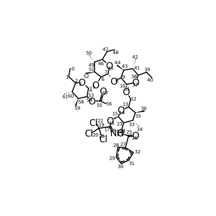 CCC1O[C@H](OC2[C@@H](OC3[C@@H](OCC4O[C@H](OC(=N)C(Cl)(Cl)Cl)C(OC(=O)c5ccccc5)[C@@H](C)[C@@H]4C)OC(CC)[C@@H](C)[C@@H]3C)OC(CC)[C@@H](C)[C@@H]2C)C(OC(C)=O)[C@@H](C)[C@@H]1C